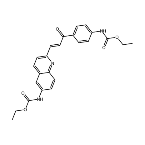 CCOC(=O)Nc1ccc(C(=O)C=Cc2ccc3cc(NC(=O)OCC)ccc3n2)cc1